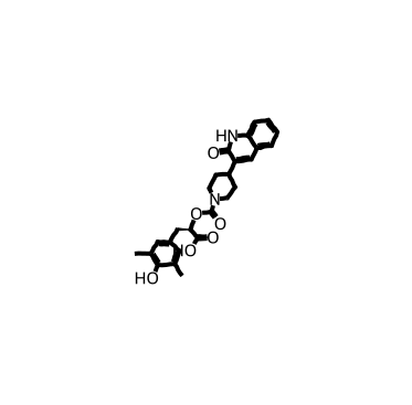 Cc1cc(C[C@@H](OC(=O)N2CCC(c3cc4ccccc4[nH]c3=O)CC2)C(=O)O)cc(C)c1O